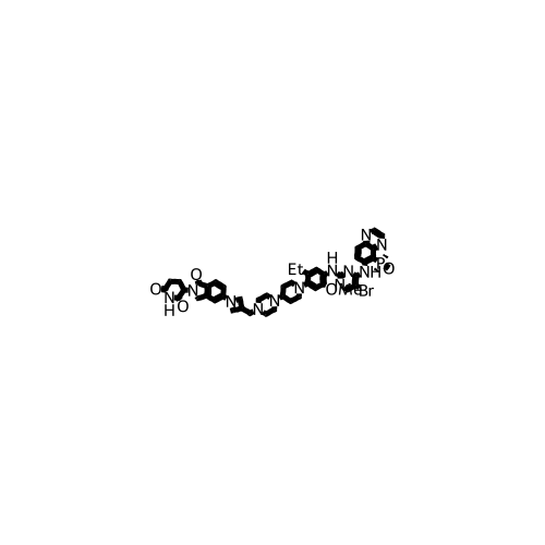 CCc1cc(Nc2ncc(Br)c(Nc3ccc4nccnc4c3P(C)(C)=O)n2)c(OC)cc1N1CCC(N2CCN(CC3CN(c4ccc5c(c4)CN(C4CCC(=O)NC4=O)C5=O)C3)CC2)CC1